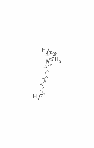 CCCCCCCCCCCC/N=C(\C)CC(C)=O